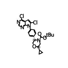 CC(C)(C)OC(=O)N1C[C@@H](C2CC2)OC[C@@H]1c1ccc(-n2c(Cl)cc3c(Cl)ncnc32)cc1